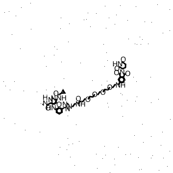 CNC(=O)c1nnc(NC(=O)C2CC2)cc1Nc1cccc(-c2ncn(CCNC(=O)CCOCCOCCOCCOCCNc3ccc4c(c3)C(=O)N(C3CCC(=O)NC3=O)C4=O)n2)c1OC